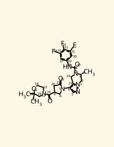 C[C@H]1Cn2ncc(N3CC(C(=O)N4CCOC(C)(C)C4)CC3=O)c2CN1C(=O)Nc1cc(F)c(F)c(F)c1